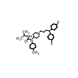 Cc1ccc(N(C(=O)NC(C)C)C2CCN(CCCC(c3ccc(F)cc3)c3ccc(F)cc3)CC2)cc1